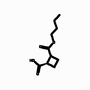 CCCCOC(=O)N1CC[C@H]1C(=O)O